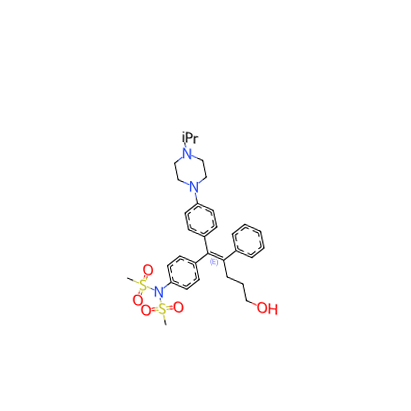 CC(C)N1CCN(c2ccc(/C(=C(/CCCO)c3ccccc3)c3ccc(N(S(C)(=O)=O)S(C)(=O)=O)cc3)cc2)CC1